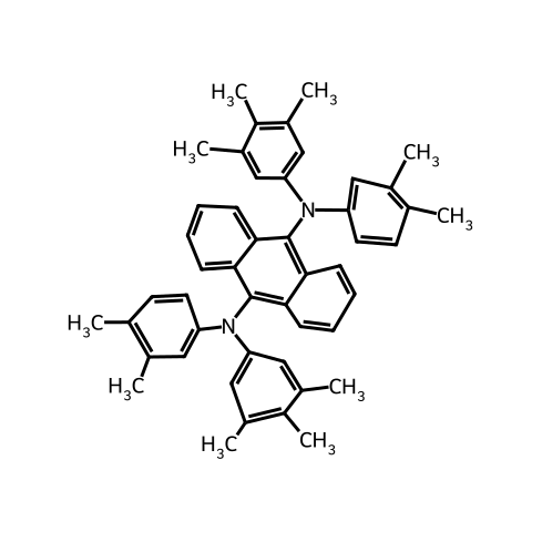 Cc1ccc(N(c2cc(C)c(C)c(C)c2)c2c3ccccc3c(N(c3ccc(C)c(C)c3)c3cc(C)c(C)c(C)c3)c3ccccc23)cc1C